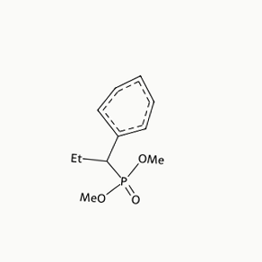 CCC(c1ccccc1)P(=O)(OC)OC